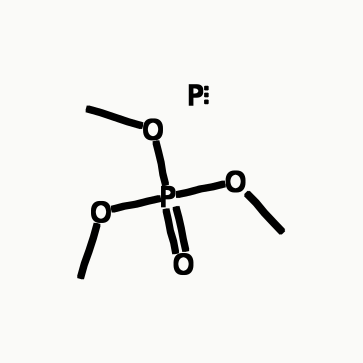 COP(=O)(OC)OC.[P]